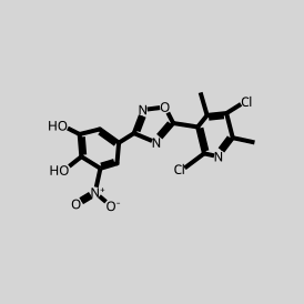 Cc1nc(Cl)c(-c2nc(-c3cc(O)c(O)c([N+](=O)[O-])c3)no2)c(C)c1Cl